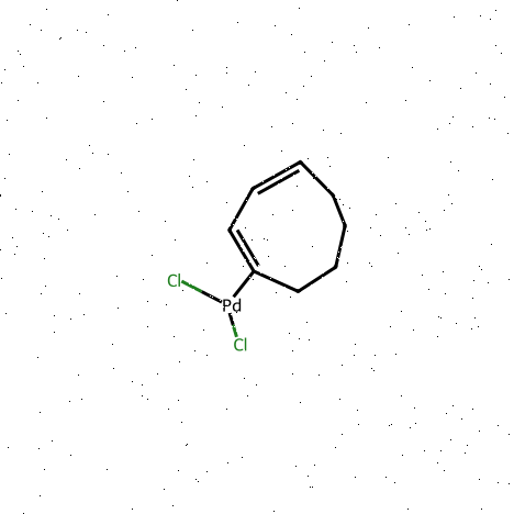 [Cl][Pd]([Cl])[C]1=CC=CCCCC1